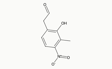 Cc1c([N+](=O)[O-])ccc(CC=O)c1O